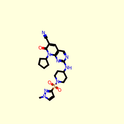 Cn1ccc(S(=O)(=O)N2CCC(Nc3ncc4cc(C#N)c(=O)n(C5CCCC5)c4n3)CC2)n1